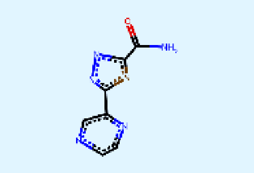 NC(=O)c1nnc(-c2cnccn2)s1